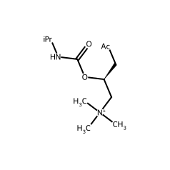 CC(=O)C[C@@H](C[N+](C)(C)C)OC(=O)NC(C)C